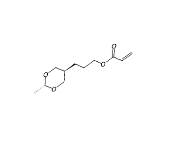 C=CC(=O)OCCC[C@H]1CO[C@H](C)OC1